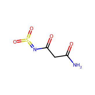 NC(=O)CC(=O)N=S(=O)=O